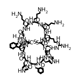 C[C@@H]1NC(=O)[C@@H]2CSS[C@H](NC(=O)[C@H](CCCCNC(=N)N)NC(=O)[C@H](CCCCN)NC(=O)[C@H](CCCCN)NC(=O)[C@H](CCCCN)NC1=O)C(=O)N1CSC[C@H]1C(=O)N[C@@H](Cc1c[nH]cn1)C(=O)N[C@H](Cc1ccccc1)C(=O)N[C@@H](Cc1c[nH]cn1)C(=O)N[C@@H](Cc1c[nH]c3ccccc13)C(=O)N2